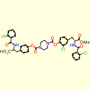 COC(=O)[C@H](Cc1ccc(OC(=O)N2CCN(C(=O)Oc3ccc(CC(NC(=O)c4ccccc4Cl)C(=O)O)cc3)CC2)c(Cl)c1)NC(=O)c1ccccc1Cl